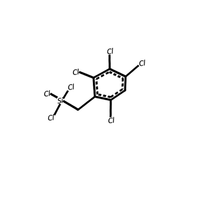 Clc1cc(Cl)c(C[Si](Cl)(Cl)Cl)c(Cl)c1Cl